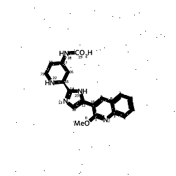 COc1nc2ccccc2cc1-c1cnc([C@@H]2CC(NC(=O)O)CCN2)[nH]1